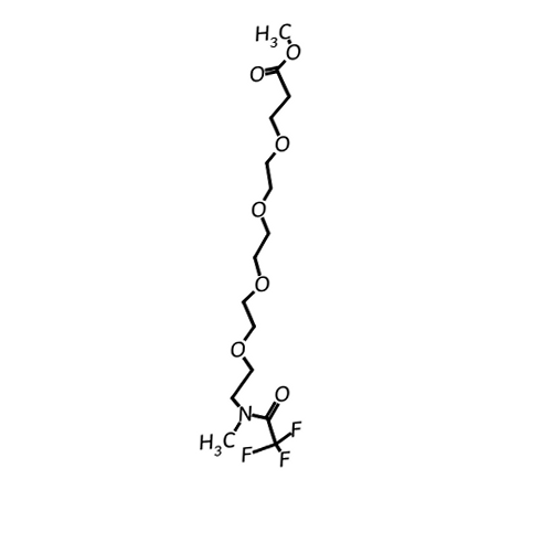 COC(=O)CCOCCOCCOCCOCCN(C)C(=O)C(F)(F)F